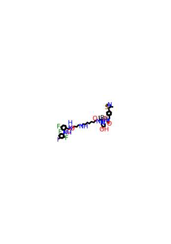 Cc1ncsc1-c1ccc(CNC(=O)[C@@H]2C[C@@H](O)CN2C(=O)[C@@H](NC(=O)CCCCCCNCCCONC(=O)c2ccc(F)c(F)c2Nc2ccc(I)cc2F)C(C)(C)C)cc1